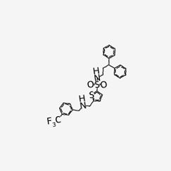 O=S(=O)(NCCC(c1ccccc1)c1ccccc1)c1ccc(CNCc2cccc(C(F)(F)F)c2)s1